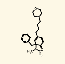 CN(C)C1(Cc2ccccc2)C=C(CCCCN2CCOCC2)C=CC1=O